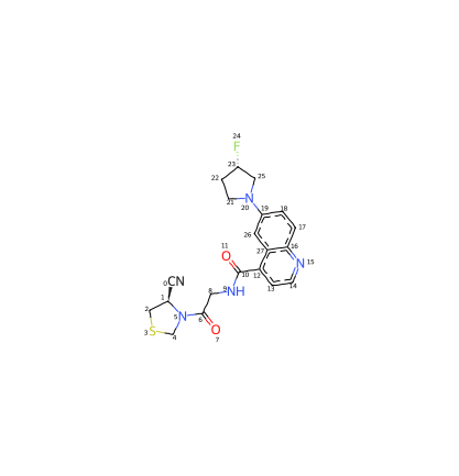 N#C[C@@H]1CSCN1C(=O)CNC(=O)c1ccnc2ccc(N3CC[C@H](F)C3)cc12